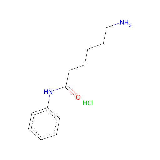 Cl.NCCCCCC(=O)Nc1ccccc1